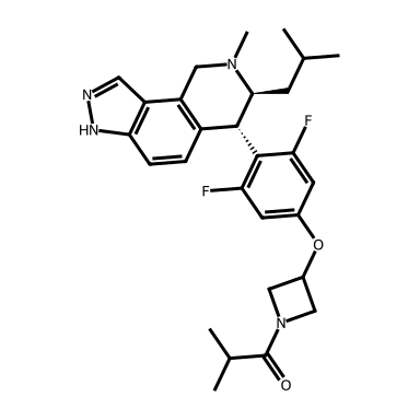 CC(C)C[C@H]1[C@H](c2c(F)cc(OC3CN(C(=O)C(C)C)C3)cc2F)c2ccc3[nH]ncc3c2CN1C